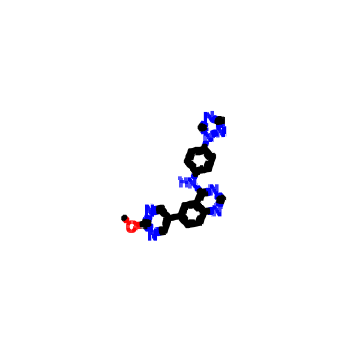 COc1ncc(-c2ccc3ncnc(Nc4ccc(-n5cncn5)cc4)c3c2)cn1